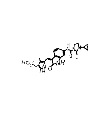 Cc1[nH]c(C=C2C(=O)Nc3cc(NC(=O)N4CCN(C5CC5)C4=O)ccc32)c(C)c1CC(=O)O